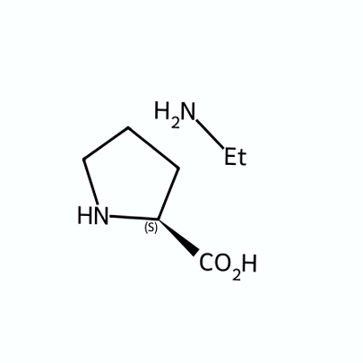 CCN.O=C(O)[C@@H]1CCCN1